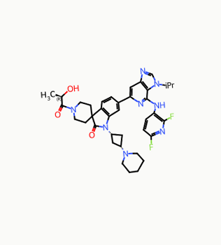 CC(C)n1cnc2cc(-c3ccc4c(c3)N([C@H]3C[C@@H](N5CCCCC5)C3)C(=O)C43CCN(C(=O)[C@@H](C)O)CC3)nc(Nc3ccc(F)nc3F)c21